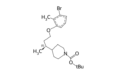 Cc1c(Br)cccc1OCC[C@H](C)C1CCN(C(=O)OC(C)(C)C)CC1